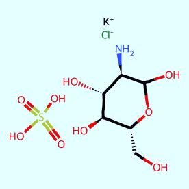 N[C@H]1C(O)O[C@H](CO)[C@@H](O)[C@@H]1O.O=S(=O)(O)O.[Cl-].[K+]